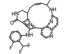 CC1/C=C\CC2CNC(=O)c3c2[nH]c(c3Nc2cccc(F)c2C(F)F)-c2ccnc3ccc(nc23)N1